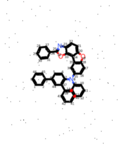 c1ccc(-c2ccc(N(c3ccccc3)c3ccc4oc5ccc6nc(-c7ccccc7)oc6c5c4c3)c(-c3ccccc3)c2)cc1